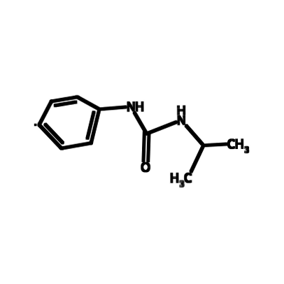 CC(C)NC(=O)Nc1cc[c]cc1